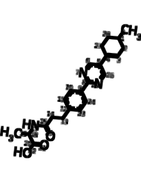 CC1CC=C(c2cnc(-c3ccc(CCC(=O)NC(C)C(=O)O)cc3)nc2)CC1